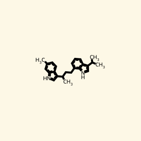 Cc1ccc2c(C(C)CCc3cccc4c(C(C)C)c[nH]c34)c[nH]c2c1